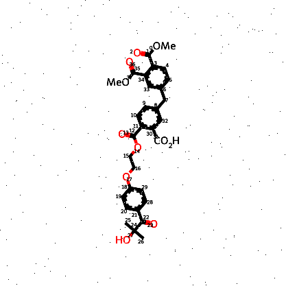 COC(=O)c1ccc(Cc2ccc(C(=O)OCCOc3ccc(C(=O)C(C)(C)O)cc3)c(C(=O)O)c2)cc1C(=O)OC